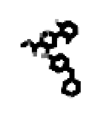 COC(=O)c1nnc(-c2c(F)cccc2F)cc1Nc1ccc(CN2CCSCC2)cc1